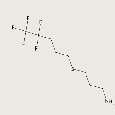 NCCCSCCCC(F)(F)C(F)(F)F